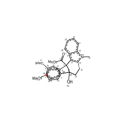 COC(=O)C1(c2ccc(OC)c(OC)c2)c2c(n(C)c3ccccc23)CCC1(O)c1ccccc1